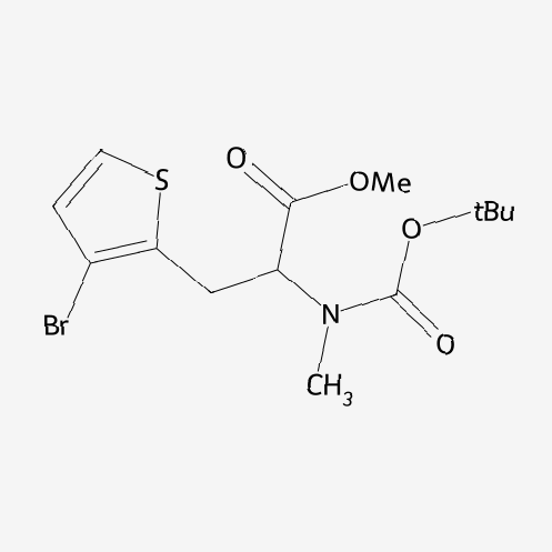 COC(=O)C(Cc1sccc1Br)N(C)C(=O)OC(C)(C)C